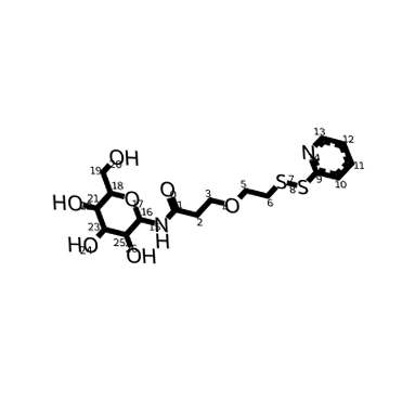 O=C(CCOCCSSc1ccccn1)NC1OC(CO)C(O)C(O)C1O